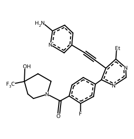 CCc1ncnc(-c2ccc(C(=O)N3CCC(O)(C(F)(F)F)CC3)c(F)c2)c1C#Cc1ccc(N)nc1